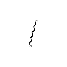 CC(=O)/C=C/C=C/C=C/CCC(C)C